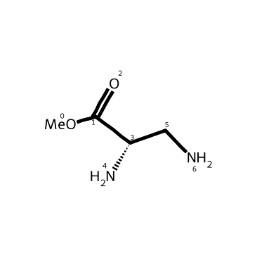 COC(=O)[C@@H](N)CN